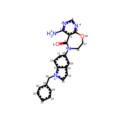 Nc1ncnc2c1C(=O)N(c1ccc3c(ccn3Cc3ccccc3)c1)CCO2